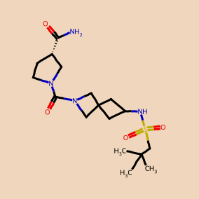 CC(C)(C)CS(=O)(=O)NC1CC2(C1)CN(C(=O)N1CC[C@H](C(N)=O)C1)C2